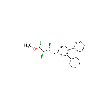 COC(F)C(F)C(F)Cc1ccc(-c2ccccc2)c(C2CCCCC2)c1